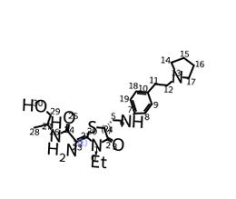 CCN1C(=O)[C@@H](CNc2ccc(CCN3CCCC3)cc2)S/C1=C(/N)C(=O)NC(C)CO